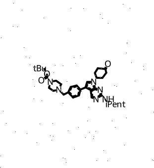 CCC[C@H](C)Nc1ncc2c(-c3ccc(CN4CCN(C(=O)OC(C)(C)C)CC4)cc3)cn(C3CCC(=O)CC3)c2n1